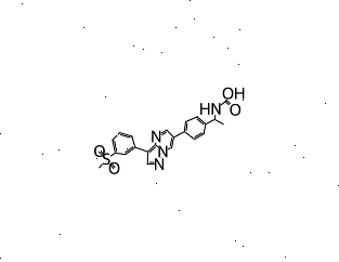 CC(NC(=O)O)c1ccc(-c2cnc3c(-c4cccc(S(C)(=O)=O)c4)cnn3c2)cc1